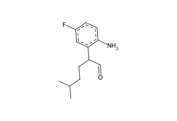 CC(C)CCC(C=O)c1cc(F)ccc1N